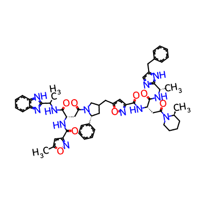 Cc1cc(C(=O)N[C@@H](CC(=O)N2CC(Cc3cc(C(=O)N[C@@H](CC(=O)N4CCCC[C@@H]4C)C(=O)N[C@@H](C)c4ncc(Cc5ccccc5)[nH]4)no3)C[C@@H]2c2ccccc2)C(=O)NC(C)c2nc3ccccc3[nH]2)no1